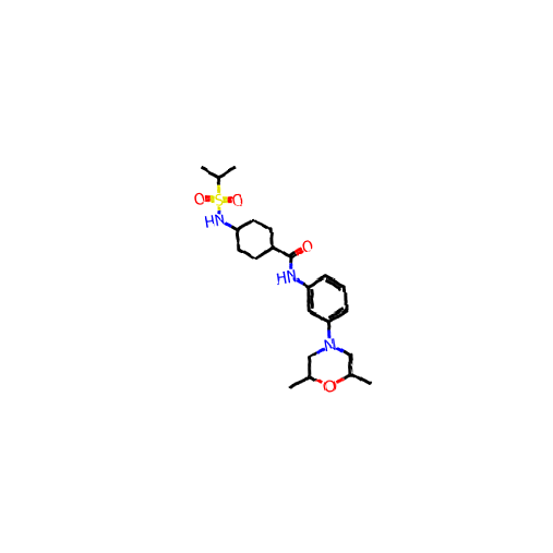 CC1CN(c2cccc(NC(=O)C3CCC(NS(=O)(=O)C(C)C)CC3)c2)CC(C)O1